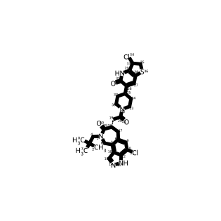 CC(C)(C)CN1Cc2c(cc(Cl)c3[nH]ncc23)C[C@@H](CC(=O)N2CCC(c3cc4c([nH]c3=O)C(Cl)CS4)CC2)C1=O